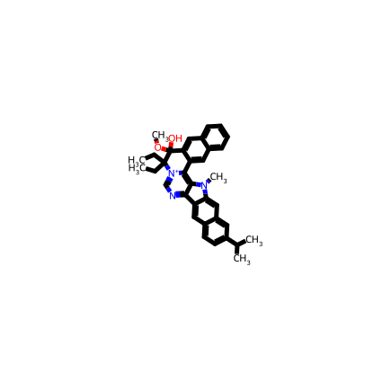 CCC1(CC)[n+]2cnc3c4cc5ccc(C(C)C)cc5cc4n(C)c3c2-c2cc3ccccc3cc2C1(O)OC